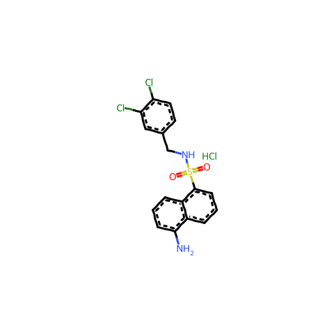 Cl.Nc1cccc2c(S(=O)(=O)NCc3ccc(Cl)c(Cl)c3)cccc12